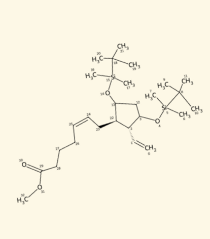 C=C[C@H]1C(O[Si](C)(C)C(C)(C)C)CC(O[Si](C)(C)C(C)(C)C)[C@@H]1C/C=C\CCCC(=O)OC